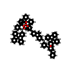 CC1(C)c2cc(-c3ccc4c(c3)oc3c(-c5ccccc5N(c5ccc6c(c5)C(c5ccccc5)(c5ccccc5)c5ccccc5-6)c5ccc6c(c5)C(c5ccccc5)(c5ccccc5)c5ccccc5-6)cccc34)ccc2-c2ccc(N(c3cccc(-c4ccc5sc6ccccc6c5c4)c3)c3ccc4c(c3)C(c3ccccc3)(c3ccccc3)c3ccccc3-4)cc21